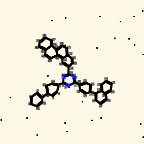 c1ccc(-c2ccc(-c3nc(-c4ccc(-c5cccc6ccccc56)cc4)nc(-c4ccc5ccc6c7ccccc7ccc6c5c4)n3)cc2)cc1